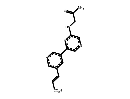 NC(=O)CNc1cncc(-c2cncc(C=CC(=O)O)c2)n1